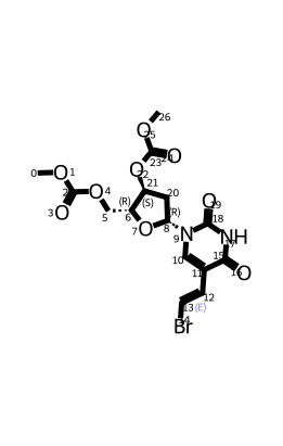 COC(=O)OC[C@H]1O[C@@H](n2cc(/C=C/Br)c(=O)[nH]c2=O)C[C@@H]1OC(=O)OC